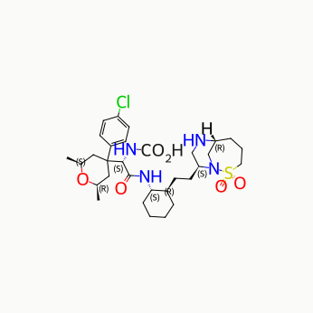 C[C@@H]1CC(c2ccc(Cl)cc2)([C@H](NC(=O)O)C(=O)N[C@H]2CCCC[C@@H]2CC[C@H]2CN[C@@H]3CCCS(=O)(=O)N2C3)C[C@H](C)O1